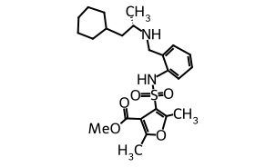 COC(=O)c1c(C)oc(C)c1S(=O)(=O)Nc1ccccc1CN[C@@H](C)CC1CCCCC1